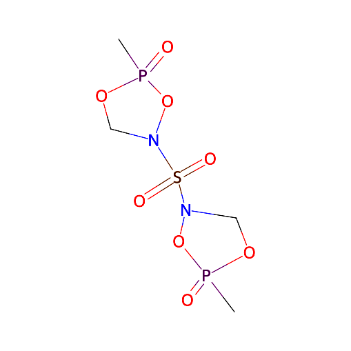 CP1(=O)OCN(S(=O)(=O)N2COP(C)(=O)O2)O1